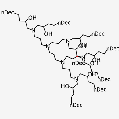 CCCCCCCCCCCCC(O)CN(CCCN(CCCN(CCCN(CC(O)CCCCCCCCCCCC)CC(O)CCCCCCCCCCCC)CCCN(CC(O)CCCCCCCCCCCC)CC(O)CCCCCCCCCCCC)CCCN(CC(O)CCCCCCCCCCCC)CC(O)CCCCCCCCCCCC)CC(O)CCCCCCCCCCCC